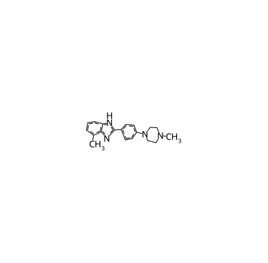 Cc1cccc2[nH]c(-c3ccc(N4CCN(C)CC4)cc3)nc12